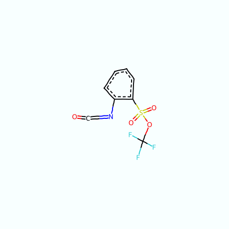 O=C=Nc1ccccc1S(=O)(=O)OC(F)(F)F